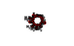 CCCCC1NC(=O)C(Cc2ccc(F)cc2)NC(=O)C(CCCN=C(N)N)NC(=O)[C@@H](Cc2ccc3ccccc3c2)CC(=O)C(CCCN=C(N)N)NC(=O)C(CCCN=C(N)N)NC(=O)C(CCC(N)=O)NC(=O)CC(CCc2ccccc2)NC(=O)C2CCCCN2C(=O)C(=O)C(C)(C)COC1=O